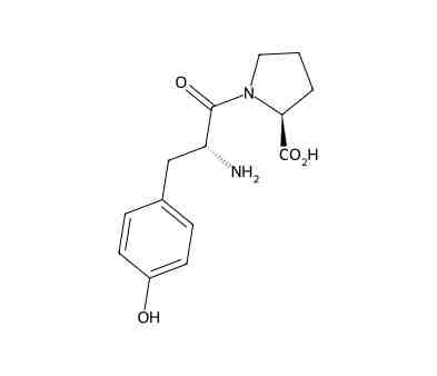 N[C@H](Cc1ccc(O)cc1)C(=O)N1CCC[C@H]1C(=O)O